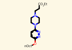 CCCCCCCCOc1ccc(N2CCN(CCC(=O)OCC)CC2)nn1